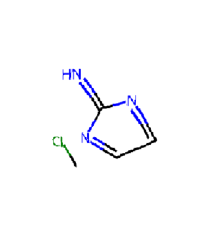 CCl.N=C1N=CC=N1